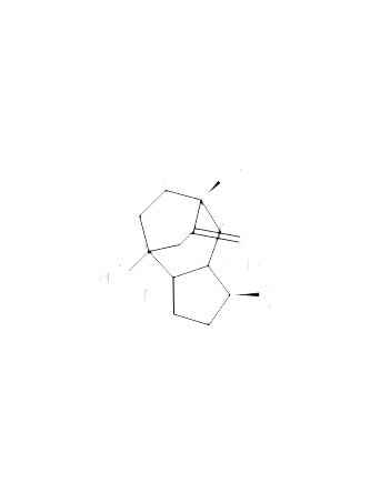 C=C1CC2(C)CC[C@@H]1C[C@@H]1[C@H]2CC[C@@H]1C